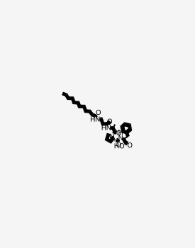 CCCCCCCCCCCC(=O)NCCC(=O)N[C@@H](C)C(=O)N1CCC[C@H]1C(=O)N[C@@H](Cc1ccccc1)C(=O)O